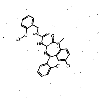 CCOc1ccccc1CNC(=S)NC1N=C(c2ccccc2Cl)c2cc(Cl)ccc2N(C)C1=O